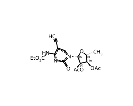 C#Cc1cn([C@@H]2O[C@H](C)[C@@H](OC(C)=O)[C@H]2OC(C)=O)c(=O)nc1NC(=O)OCC